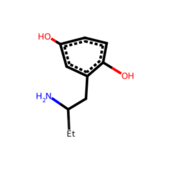 CCC(N)Cc1cc(O)ccc1O